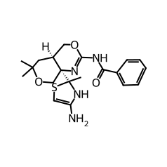 CC1(C)C[C@H]2COC(NC(=O)c3ccccc3)=N[C@@]2(C2(C)NC(N)=CS2)CO1